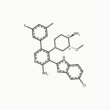 CO[C@@H]1CN(c2c(-c3cc(C)cc(F)c3)cnc(N)c2-c2nc3cc(Cl)ccc3[nH]2)CC[C@H]1N